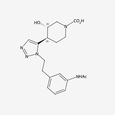 CC(=O)Nc1cccc(CCn2nncc2[C@@H]2CCN(C(=O)O)C[C@H]2O)c1